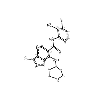 CCn1ncc2c(NC3CCOCC3)c(C(=O)Nc3cccc(F)c3C#N)cnc21